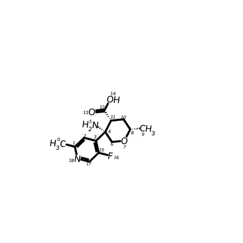 Cc1cc([C@]2(N)CO[C@@H](C)C[C@H]2C(=O)O)c(F)cn1